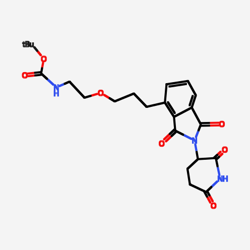 CC(C)(C)OC(=O)NCCOCCCc1cccc2c1C(=O)N(C1CCC(=O)NC1=O)C2=O